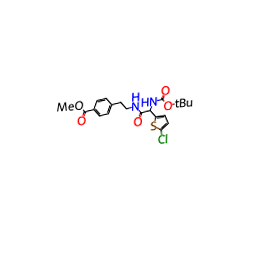 COC(=O)c1ccc(CCNC(=O)C(NC(=O)OC(C)(C)C)c2ccc(Cl)s2)cc1